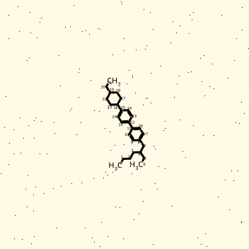 CCCCC(CC)Cc1ccc(-c2ccc(C3CCC(CC)CC3)cc2)cc1